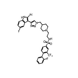 CC(=O)c1[nH]c2ccc(F)cc2c1-c1cn(CC2CCN(CCNS(=O)(=O)c3ccc(-c4ccccc4F)c(C(F)(F)F)c3)CC2)nn1